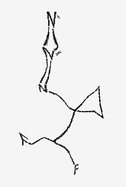 [N-]=[N+]=NC1(C(F)F)CC1